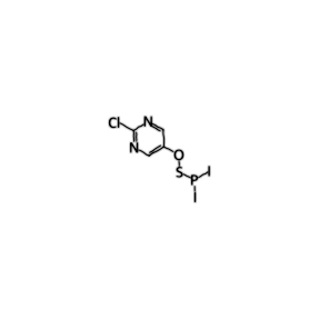 Clc1ncc(OSP(I)I)cn1